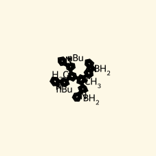 Bn1c2ccccc2c2cc(-c3cc(-c4cc(-c5ccc6c(c5)c5ccccc5n6CCCC)c(C)c(-c5ccc6c(c5)c5ccccc5n6CCCC)c4)cc(-c4ccc5c(c4)c4ccccc4n5B)c3C)ccc21